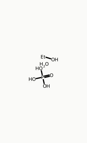 CCO.O.O=P(O)(O)O